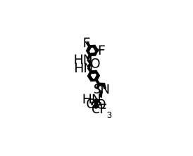 O=C(Nc1ccc(-c2cnc(CNS(=O)(=O)C(F)(F)F)s2)cc1)Nc1cc(F)cc(F)c1